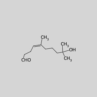 CC(=CCCC=O)CCCC(C)(C)O